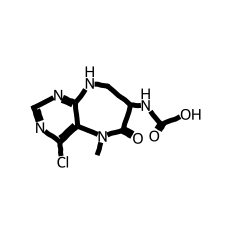 CN1C(=O)C(NC(=O)O)CNc2ncnc(Cl)c21